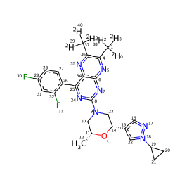 [2H]C([2H])([2H])c1nc2nc(N3C[C@@H](C)O[C@@H](c4cnn(C5CC5)c4)C3)nc(-c3ccc(F)cc3F)c2nc1C([2H])([2H])[2H]